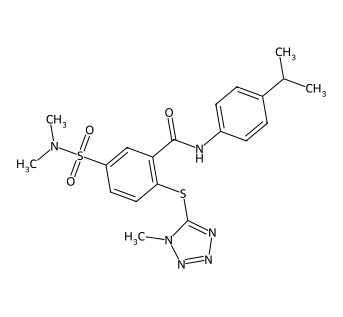 CC(C)c1ccc(NC(=O)c2cc(S(=O)(=O)N(C)C)ccc2Sc2nnnn2C)cc1